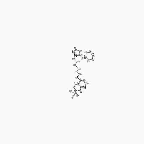 FC(F)(F)c1ccc2c(SCCCCCCn3nccc3CN3CCOCC3)ccnc2c1